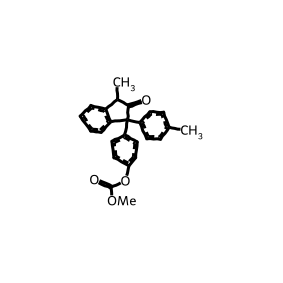 COC(=O)Oc1ccc(C2(c3ccc(C)cc3)C(=O)C(C)c3ccccc32)cc1